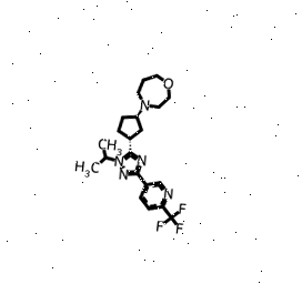 CC(C)n1nc(-c2ccc(C(F)(F)F)nc2)nc1[C@@H]1CC[C@@H](N2CCCOCC2)C1